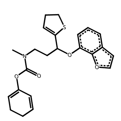 CN(CCC(Oc1cccc2ccoc12)C1=CCCS1)C(=O)OC1=CCCC=C1